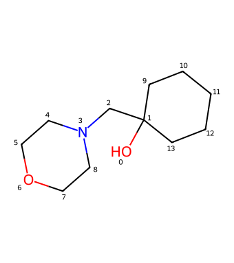 OC1(CN2CCOCC2)CCCCC1